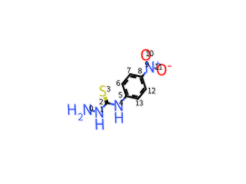 NNC(=S)Nc1ccc([N+](=O)[O-])cc1